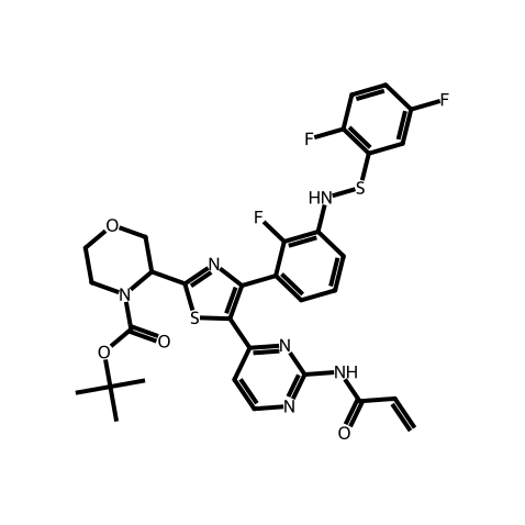 C=CC(=O)Nc1nccc(-c2sc(C3COCCN3C(=O)OC(C)(C)C)nc2-c2cccc(NSc3cc(F)ccc3F)c2F)n1